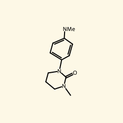 CNc1ccc(N2CCCN(C)C2=O)cc1